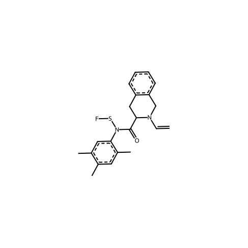 C=CN1Cc2ccccc2CC1C(=O)N(SF)c1cc(C)c(C)cc1C